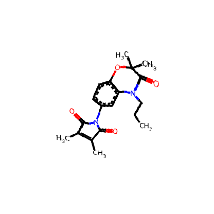 CCCN1C(=O)C(C)(C)Oc2ccc(N3C(=O)C(C)=C(C)C3=O)cc21